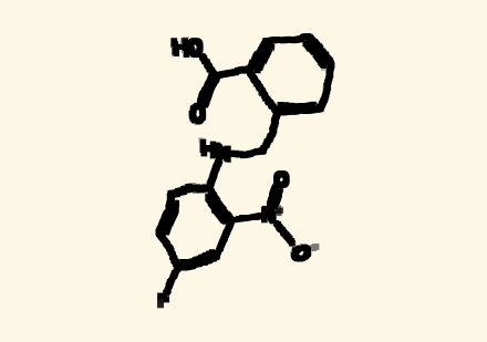 O=C(O)c1ccccc1CNc1ccc(F)cc1[N+](=O)[O-]